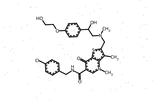 Cc1c(CN(C)CC(O)c2ccc(OCCO)cc2)sc2c(=O)c(C(=O)NCc3ccc(Cl)cc3)cn(C)c12